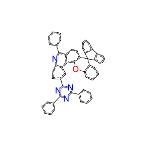 c1ccc(-c2nc(-c3ccccc3)nc(-c3ccc4nc(-c5ccccc5)c5ccc6c(c5c4c3)Oc3ccccc3C63c4ccccc4-c4ccccc43)n2)cc1